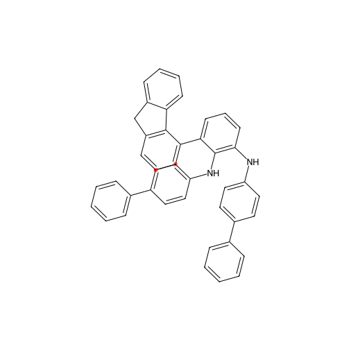 c1ccc(-c2ccc(Nc3cccc(-c4cccc5c4-c4ccccc4C5)c3Nc3ccc(-c4ccccc4)cc3)cc2)cc1